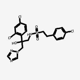 O=S(=O)(CCc1ccc(Cl)cc1)NCC(O)(Cn1cncn1)c1ccc(Cl)cc1Cl